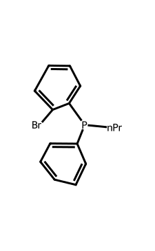 CCCP(c1ccccc1)c1ccccc1Br